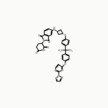 CC(C)(c1ccc(Oc2ccnc(-n3nccn3)n2)cc1)c1ccc(O[C@H]2C[C@H](Nc3ccc4c(c3)C(=O)N(C3CCC(=O)NC3=O)C4=O)C2)cc1